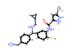 NCc1ccc(C(NCC2CC2)c2ccc(F)c(NC(=O)c3cc(C(F)(F)F)n[nH]3)c2)cc1